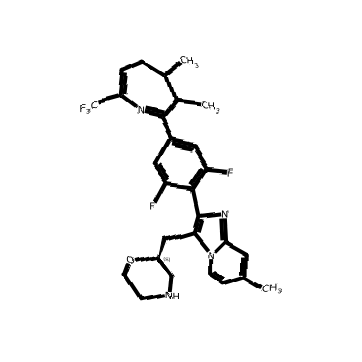 Cc1ccn2c(C[C@H]3CNCCO3)c(-c3c(F)cc(C4=NC(C(F)(F)F)=CCC(C)C4C)cc3F)nc2c1